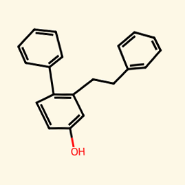 Oc1ccc(-c2ccccc2)c(CCc2ccccc2)c1